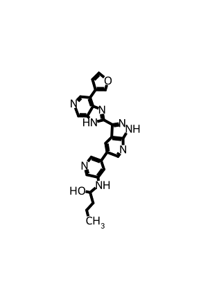 CCCC(O)Nc1cncc(-c2cnc3[nH]nc(-c4nc5c(-c6ccoc6)cncc5[nH]4)c3c2)c1